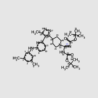 Cc1cc(C)cc(Nc2cccc(-c3c(C)nnn3C3CCN(/C(=N\C(=O)OC(C)(C)C)NC(=O)OC(C)(C)C)CC3)n2)c1